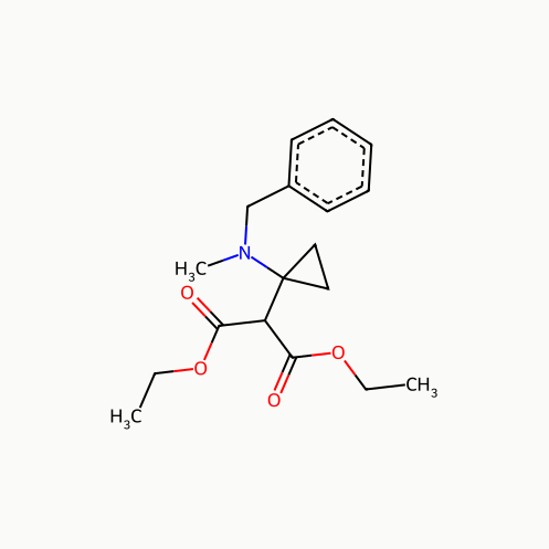 CCOC(=O)C(C(=O)OCC)C1(N(C)Cc2ccccc2)CC1